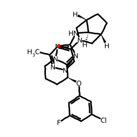 Cc1cc(N2C[C@H]3CC[C@@H](C2)[C@@H]3Nc2nc3n(n2)CCC[C@@H]3Oc2cc(F)cc(Cl)c2)cnn1